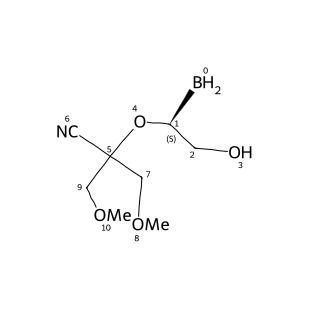 B[C@@H](CO)OC(C#N)(COC)COC